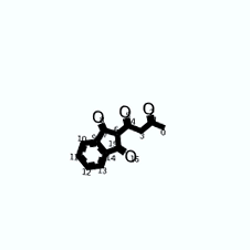 CC(=O)CC(=O)C1C(=O)c2ccccc2C1=O